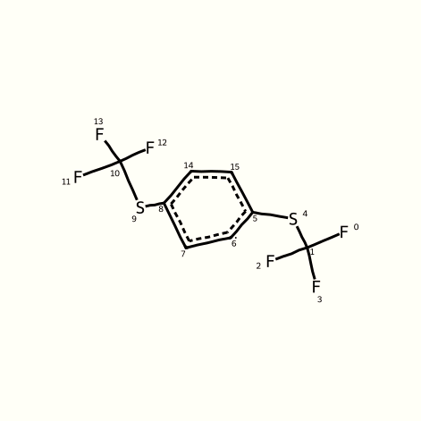 FC(F)(F)Sc1[c]cc(SC(F)(F)F)cc1